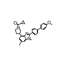 COc1ccc(-c2ccc(-c3nc4c(C5CCN(C(=O)C6CC6)C5)cc(C)cc4n3C)cc2)cc1